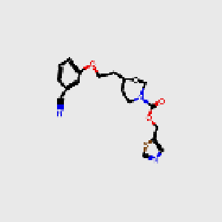 N#Cc1cccc(OCCC2CCN(C(=O)OCc3cncs3)CC2)c1